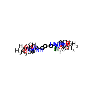 COC(=O)N[C@H](C(=O)N1[C@@H](C)CC[C@H]1C1=NCC(c2ccc3cc(-c4ccc(C5NC([C@@H]6CC[C@H](C)N6C(=O)[C@@H](NC(=O)OC)C(C)C)=NC5Cl)cc4)ccc3c2)N1)C(C)C